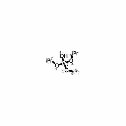 CC(C)[O][V]([OH])([O]C(C)C)[O]C(C)C